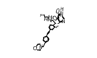 O=c1[nH]cnc(C[C@@H](CNCCCF)c2ccc(C#Cc3ccc(CN4CCOCC4)cc3)cc2F)c1O